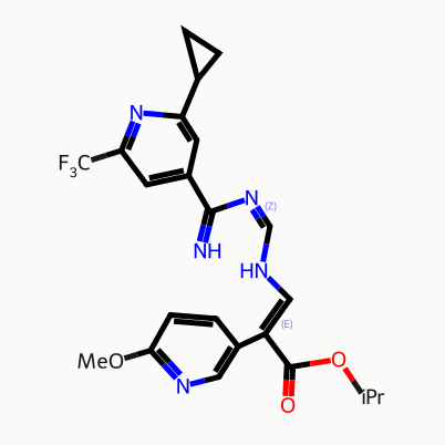 COc1ccc(/C(=C\N/C=N\C(=N)c2cc(C3CC3)nc(C(F)(F)F)c2)C(=O)OC(C)C)cn1